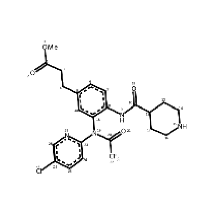 COC(=O)CCc1ccc(NC(=O)C2CCNCC2)c(N(C(=O)C(F)(F)F)c2ccc(Cl)cn2)c1